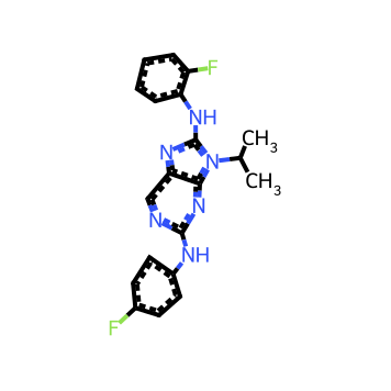 CC(C)n1c(Nc2ccccc2F)nc2cnc(Nc3ccc(F)cc3)nc21